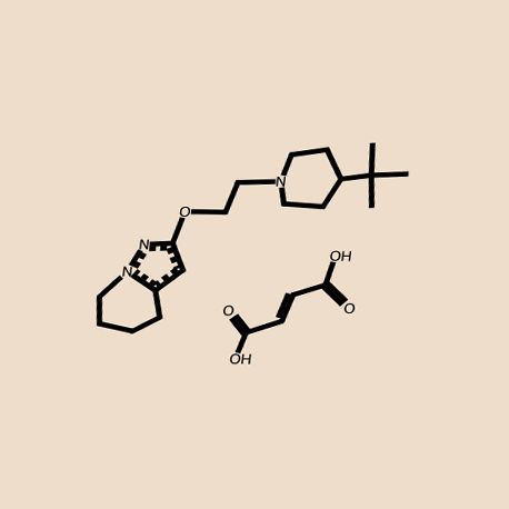 CC(C)(C)C1CCN(CCOc2cc3n(n2)CCCC3)CC1.O=C(O)C=CC(=O)O